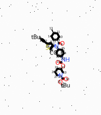 CC(C)(C)C#Cc1cc(N(C(=O)[C@H]2CC[C@H](C)CC2)C2CCC(NC(=O)O[C@@H]3CCCN(C(=O)OC(C)(C)C)C3)CC2)c(C(=O)O)s1